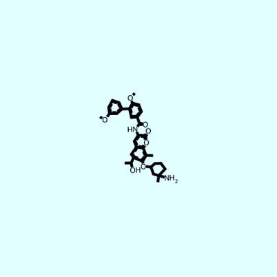 COc1cccc(-c2cc(C(=O)Nc3cc4cc(C(C)O)c(OC5CCCC(C)(N)C5)c(C)c4oc3=O)ccc2OC)c1